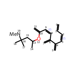 C=C/C=C\C(=C)C(=C)/C=C\C(=C)OC(C)CC(C)(C)NC